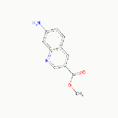 COC(=O)c1cnc2cc(N)ccc2c1